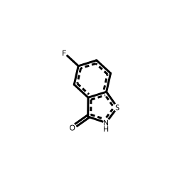 O=c1[nH]sc2ccc(F)cc12